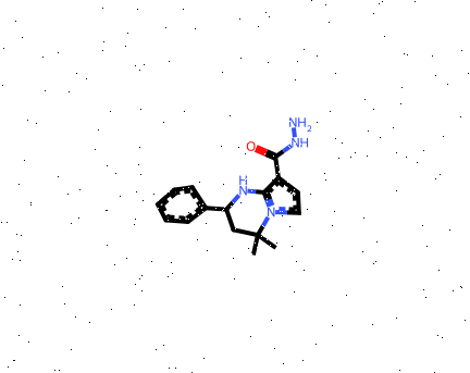 CC1(C)CC(c2ccccc2)Nc2c(C(=O)NN)ccn21